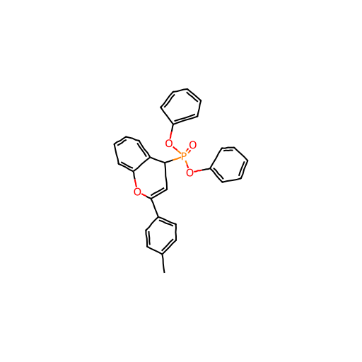 Cc1ccc(C2=CC(P(=O)(Oc3ccccc3)Oc3ccccc3)c3ccccc3O2)cc1